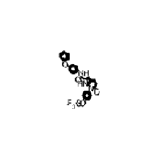 O=C(Nc1ccc(Oc2ccccc2)cc1)c1cc2ccc(=O)n(-c3ccc(OC(F)(F)F)cc3)c2[nH]1